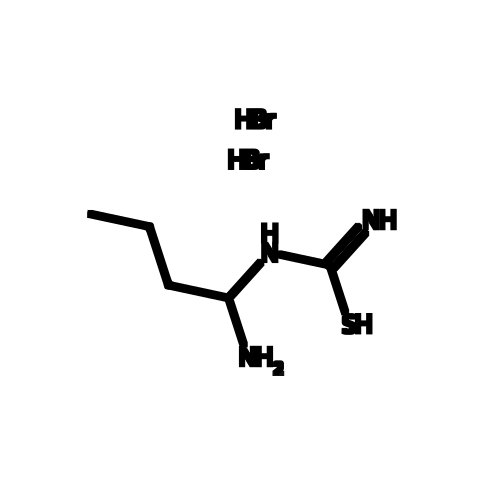 Br.Br.CCCC(N)NC(=N)S